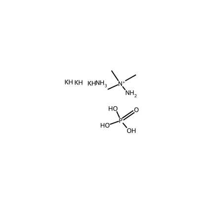 C[N+](C)(C)N.N.O=P(O)(O)O.[KH].[KH].[KH]